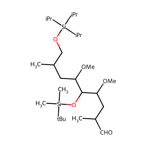 COC(CC(C)C=O)C(O[Si](C)(C)C(C)(C)C)C(CC(C)CO[Si](C(C)C)(C(C)C)C(C)C)OC